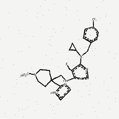 O=C(O)N1CCC(CNc2ncnc(N(Cc3ccc(C(F)(F)F)cc3)C3CC3)c2F)(c2ncc[nH]2)CC1